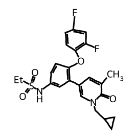 CCS(=O)(=O)Nc1ccc(Oc2ccc(F)cc2F)c(-c2cc(C)c(=O)n(CC3CC3)c2)c1